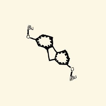 CCC(C)Oc1ccc2c(c1)Cc1cc(OC(C)CC)ccc1-2